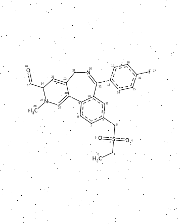 CCS(=O)(=O)Cc1ccc2c(c1)C(c1ccc(F)cc1)=NCC1=CC(C=O)N(C)C=C12